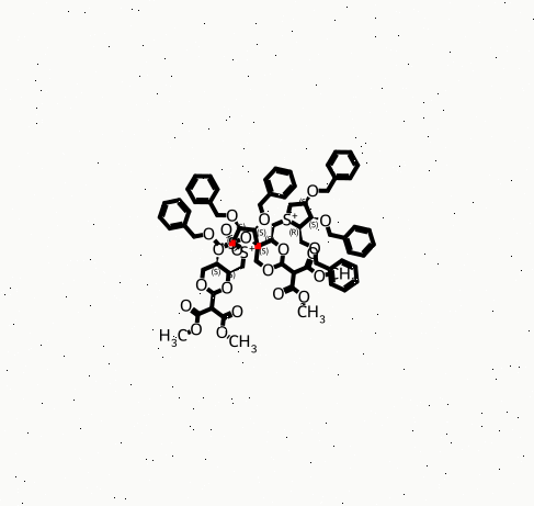 COC(=O)C(C(=O)OC)C1OC[C@H](OS(=O)(=O)O[C@H]2COC(C(C(=O)OC)C(=O)OC)O[C@@H]2C[S+]2C[C@@H](OCc3ccccc3)[C@H](OCc3ccccc3)[C@H]2COCc2ccccc2)[C@@H](C[S+]2C[C@@H](OCc3ccccc3)[C@H](OCc3ccccc3)[C@H]2COCc2ccccc2)O1